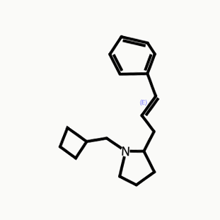 C(=C\c1ccccc1)/CC1CCCN1CC1CCC1